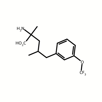 CC(Cc1cccc(OC(F)(F)F)c1)CC(C)(N)C(=O)O